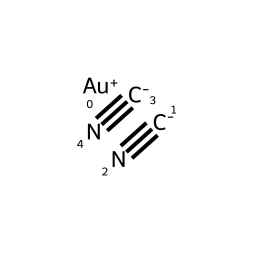 [Au+].[C-]#N.[C-]#N